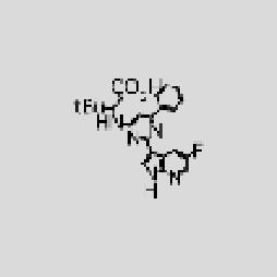 CC(C)(C)C(CC(=O)O)Nc1cc(-c2ccccc2)nc(-c2c[nH]c3ncc(F)cc23)n1